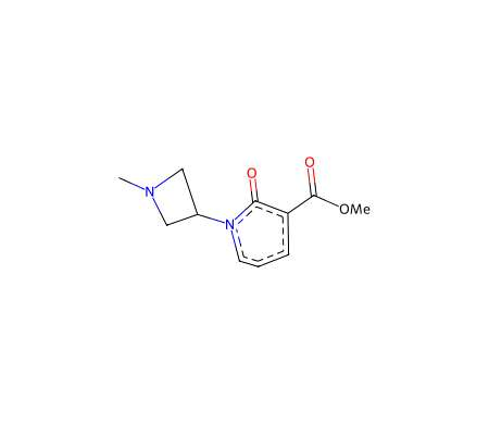 COC(=O)c1cccn(C2CN(C)C2)c1=O